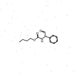 CCCCOC(=O)NN([C]=O)c1ccccc1